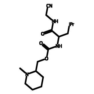 CC(C)CC(NC(=O)OCC1CCCCN1C)C(=O)NCC#N